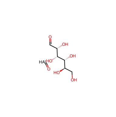 O=C[C@H](O)[C@@H](O)[C@H](O)[C@H](O)CO.[O]=[AlH]